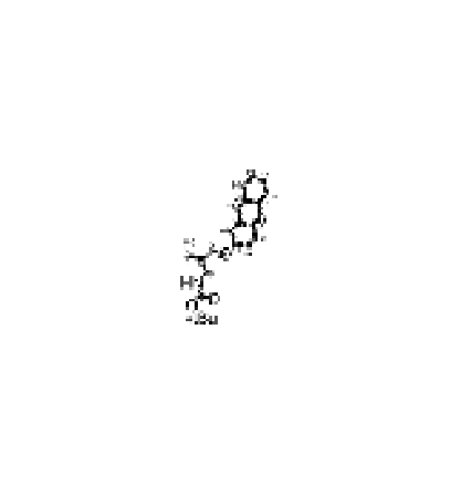 CC(C)(C)OC(=O)NC/C(=C/F)COc1ccc2nc3ccccc3cc2c1